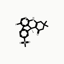 Cc1c(F)cnc2c1[C@](C)(c1cccc(S(C)(=O)=O)c1)C1=C(CC(C)(C)CC1=O)N2